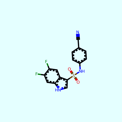 N#Cc1ccc(NS(=O)(=O)c2c[nH]c3cc(F)c(F)cc23)cc1